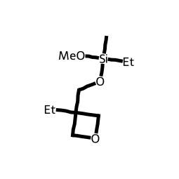 CCC1(CO[Si](C)(CC)OC)COC1